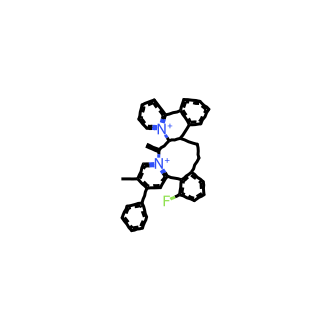 C=C1C2C(CCc3cccc(F)c3-c3cc(-c4ccccc4)c(C)c[n+]31)c1ccccc1-c1cccc[n+]12